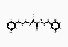 O=C(OCCCc1ccccc1)C(=O)OCCc1ccccc1